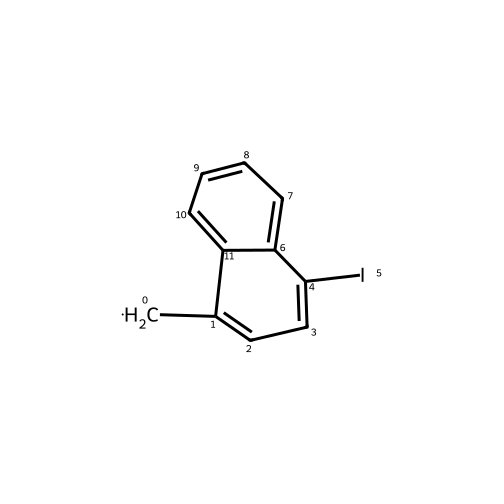 [CH2]c1ccc(I)c2ccccc12